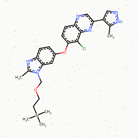 Cc1[nH]ncc1-c1cnc2ccc(Oc3ccc4nc(C)n(COCC[Si](C)(C)C)c4c3)c(Cl)c2n1